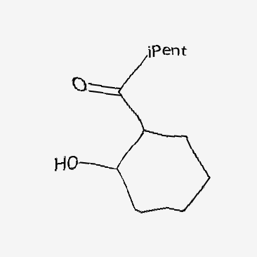 CCCC(C)C(=O)C1CCCCC1O